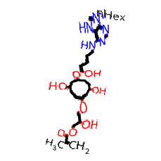 C=C(C)C(=O)OCC(O)COC1CC[C@@H](O)C[C@@H](OC(O)CCCCNc2ncnc3c2[nH]c[n+]3CCCCCC)CCC(O)C1